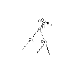 CCCCCCCCCOC(=O)CCCCCCCN(CCCCCCCC(=O)OC(CCCCCCCC)CCCCCCCC)CCCN/C(C(=O)C=O)=C(\N)F